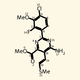 COC(=O)c1nc(-c2ccc(Cl)c(OC)c2F)nc(N)c1C=CSC